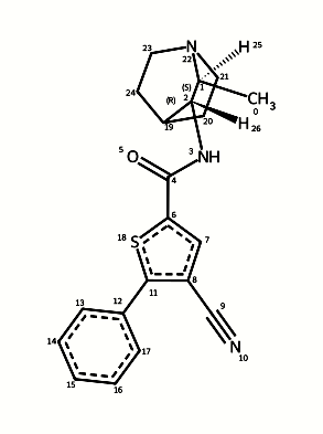 C[C@H]1[C@H](NC(=O)c2cc(C#N)c(-c3ccccc3)s2)C2CCN1CC2